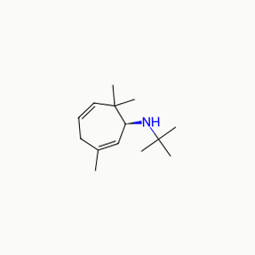 CC1=C[C@H](NC(C)(C)C)C(C)(C)C=CC1